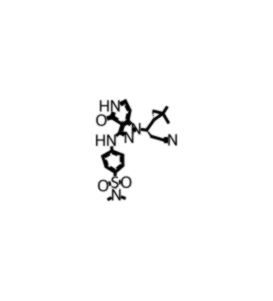 CN(C)S(=O)(=O)c1ccc(Nc2nn([C@H](CC#N)[C@@H]3CC3(C)C)c3cc[nH]c(=O)c23)cc1